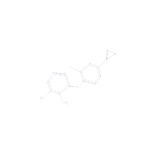 Cc1c(Br)cncc1Oc1ccc(C2CC2)cc1F